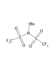 CC(C)(C)N(S(=O)(=O)C(F)(F)F)S(=O)(=O)C(F)(F)F